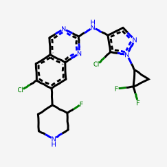 FC1CNCCC1c1cc2nc(Nc3cnn(C4CC4(F)F)c3Cl)ncc2cc1Cl